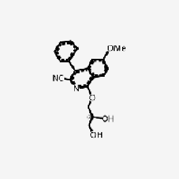 COc1ccc2c(OC[C@@H](O)CO)nc(C#N)c(-c3ccccc3)c2c1